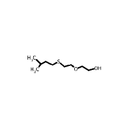 CC(C)CCSCCOCCO